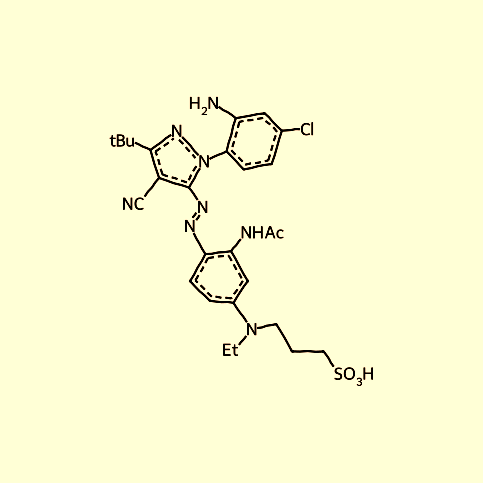 CCN(CCCS(=O)(=O)O)c1ccc(/N=N/c2c(C#N)c(C(C)(C)C)nn2-c2ccc(Cl)cc2N)c(NC(C)=O)c1